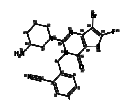 N#Cc1ccccc1Cn1c(N2CCCC(N)C2)nc2c(Br)c(F)sc2c1=O